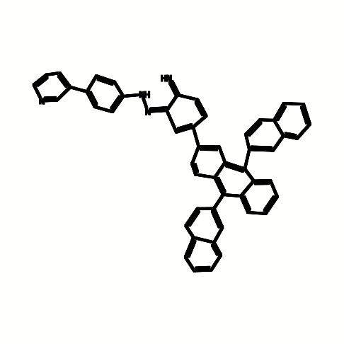 N=C1C=CC(c2ccc3c(-c4ccc5ccccc5c4)c4ccccc4c(-c4ccc5ccccc5c4)c3c2)=C/C1=N/Nc1ccc(-c2cccnc2)cc1